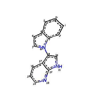 [c]1ccc2c(c1)ccn2-c1c[nH]c2ncccc12